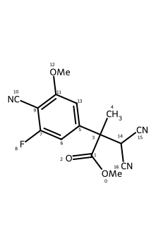 COC(=O)C(C)(c1cc(F)c(C#N)c(OC)c1)C(C#N)C#N